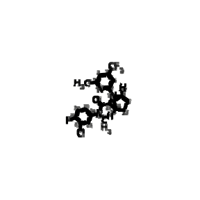 Cc1cc(C(F)(F)F)cc(N2[C@@H]3CC[C@@H](C3)[C@H]2C(=O)N(C)c2ccc(F)c(Cl)c2)n1